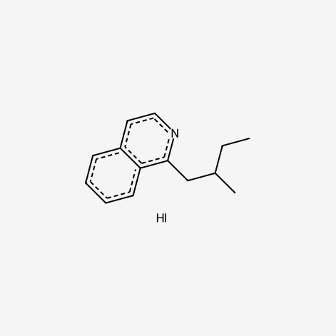 CCC(C)Cc1nccc2ccccc12.I